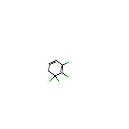 FC1=C(F)C(F)(Cl)C[C]=C1